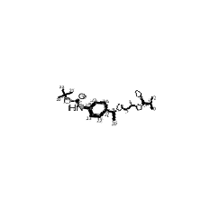 C=C(C)C(=O)OCCOC(=C)c1ccc(NC(=O)OC(C)(C)C)cc1